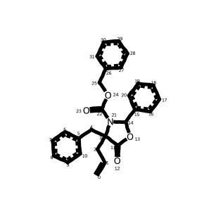 C=CCC1(Cc2ccccc2)C(=O)OC(c2ccccc2)N1C(=O)OCc1ccccc1